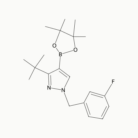 CC(C)(C)c1nn(Cc2cccc(F)c2)cc1B1OC(C)(C)C(C)(C)O1